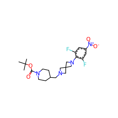 CC(C)(C)OC(=O)N1CCC(CN2CC3(C2)CN(c2c(F)cc([N+](=O)[O-])cc2F)C3)CC1